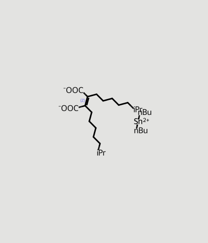 CC(C)CCCCC/C(C(=O)[O-])=C(\CCCCCC(C)C)C(=O)[O-].CCC[CH2][Sn+2][CH2]CCC